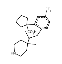 CN(Cc1ccc(C(F)(F)F)cc1C1(C(=O)O)CCCC1)C1(C)CCNCC1